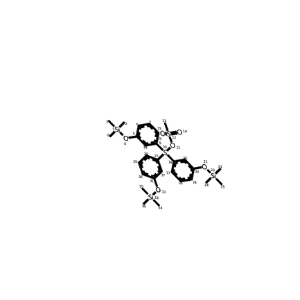 C[Si](C)(C)Oc1cccc(S(OS(C)(=O)=O)(c2cccc(O[Si](C)(C)C)c2)c2cccc(O[Si](C)(C)C)c2)c1